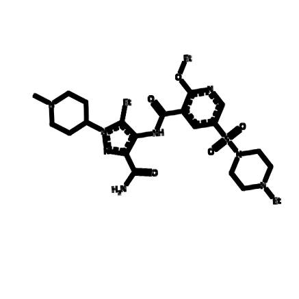 CCOc1ncc(S(=O)(=O)N2CCN(CC)CC2)cc1C(=O)Nc1c(C(N)=O)nn(C2CCN(C)CC2)c1CC